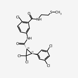 CSCCNC(=O)c1cc(NC(=O)[C@@H]2[C@@H](c3cc(Cl)cc(Cl)c3)C2(Cl)Cl)ccc1Cl